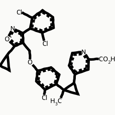 CC1(c2ccc(OCc3c(-c4c(Cl)cccc4Cl)noc3C3CC3)cc2Cl)CC1c1ccnc(C(=O)O)c1